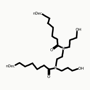 CCCCCCCCCCCCCCCC(=O)N(CCCO)CCN(CCCO)C(=O)CCCCCCCCCCCCCCC